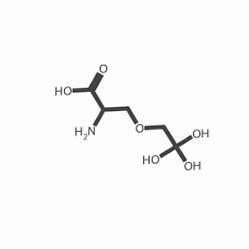 NC(COCC(O)(O)O)C(=O)O